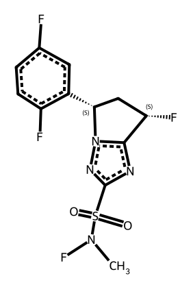 CN(F)S(=O)(=O)c1nc2n(n1)[C@H](c1cc(F)ccc1F)C[C@@H]2F